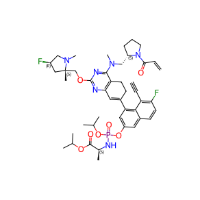 C#Cc1c(F)ccc2cc(OP(=O)(N[C@@H](C)C(=O)OC(C)C)OC(C)C)cc(C3=Cc4nc(OC[C@]5(C)C[C@@H](F)CN5C)nc(N(C)C[C@@H]5CCCN5C(=O)C=C)c4CC3)c12